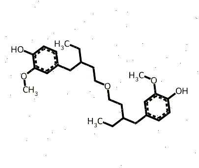 CCC(CCOCCC(CC)Cc1ccc(O)c(OC)c1)Cc1ccc(O)c(OC)c1